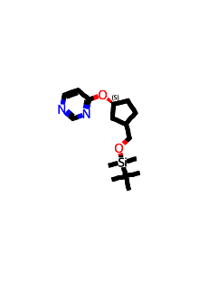 CC(C)(C)[Si](C)(C)OCC1CC[C@H](Oc2ccncn2)C1